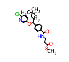 COC(=O)CCNC(=O)c1ccc(C(CCC(C)(C)C)Oc2ccc(Cl)nc2)cc1